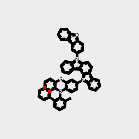 Cc1cccc(-c2ccccc2)c1B1c2ccccc2Sc2cc(-n3c4ccccc4c4ccc5c(c6ccccc6n5-c5ccc6oc7ccccc7c6c5)c43)ccc21